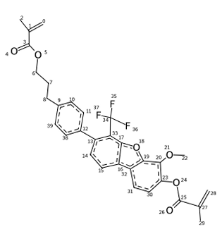 C=C(C)C(=O)OCCCc1ccc(-c2ccc3c(oc4c(OC)c(OC(=O)C(=C)C)ccc43)c2C(F)(F)F)cc1